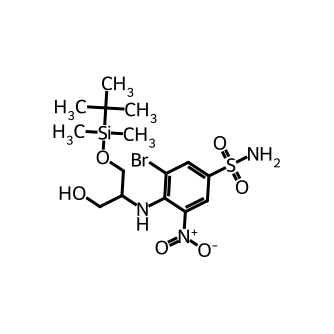 CC(C)(C)[Si](C)(C)OCC(CO)Nc1c(Br)cc(S(N)(=O)=O)cc1[N+](=O)[O-]